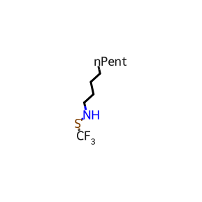 CCCCCCCCCNSC(F)(F)F